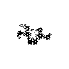 C/N=C\c1cncc(COc2cc(OCc3cccc(-c4cccc(COc5cc(OCc6cncc(C#N)c6)c(CN6CCCC(C(=O)O)C6)cc5Cl)c4C)c3C)c(Cl)cc2CN2CCCC(C(=O)O)C2)c1